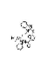 NCCCn1c(Sc2ccc(C(=O)Nc3ccccc3)o2)nc2ccccc21